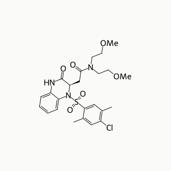 COCCN(CCOC)C(=O)C[C@@H]1C(=O)Nc2ccccc2N1S(=O)(=O)c1cc(C)c(Cl)cc1C